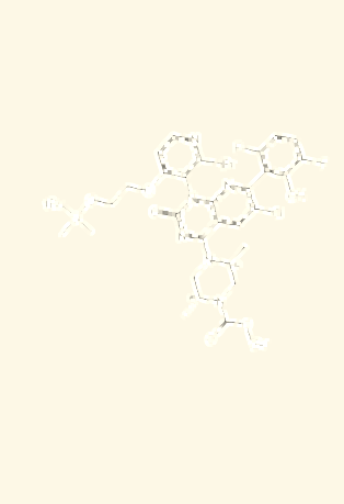 CC(C)c1nccc(OCCO[Si](C)(C)C(C)(C)C)c1-n1c(=O)nc(N2C[C@@H](C)N(C(=O)OC(C)(C)C)C[C@@H]2C)c2cc(Cl)c(-c3c(F)ccc(F)c3O)nc21